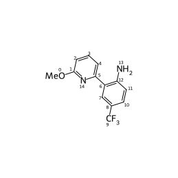 COc1cccc(-c2cc(C(F)(F)F)ccc2N)n1